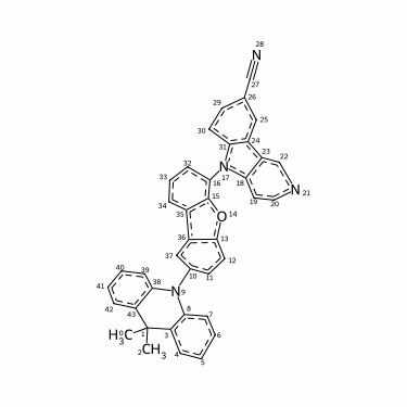 CC1(C)c2ccccc2N(c2ccc3oc4c(-n5c6ccncc6c6cc(C#N)ccc65)cccc4c3c2)c2ccccc21